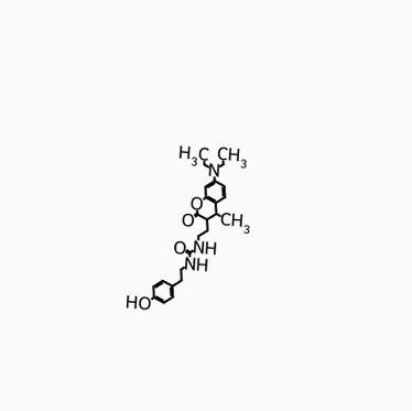 CCN(CC)c1ccc2c(c1)OC(=O)C(CCNC(=O)NCCc1ccc(O)cc1)C2C